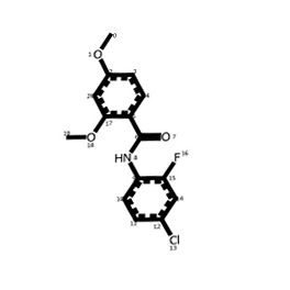 COc1ccc(C(=O)Nc2ccc(Cl)cc2F)c(OC)c1